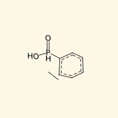 CC.O=[PH](O)c1ccccc1